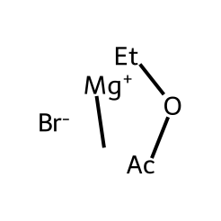 CCOC(C)=O.[Br-].[CH3][Mg+]